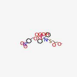 COCC(=O)CSC=NC(c1ccccc1)(c1ccccc1)P(=O)(O)OC(=O)OCc1ccc([N+](=O)[O-])cc1